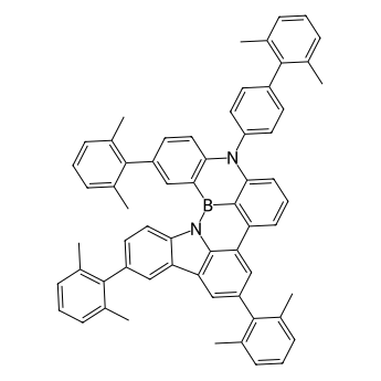 Cc1cccc(C)c1-c1ccc(N2c3ccc(-c4c(C)cccc4C)cc3B3c4c(cccc42)-c2cc(-c4c(C)cccc4C)cc4c5cc(-c6c(C)cccc6C)ccc5n3c24)cc1